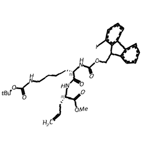 C=CC[C@H](NC(=O)[C@H](CCCCNC(=O)OC(C)(C)C)NC(=O)OCC1c2ccccc2-c2cccc(I)c21)C(=O)OC